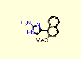 COc1ccc2ccccc2c1-c1c[nH]c(N)n1